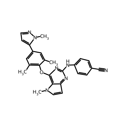 Cc1cc(-c2ccnn2C)cc(C)c1Oc1nc(Nc2ccc(C#N)cc2)nc2ccn(C)c12